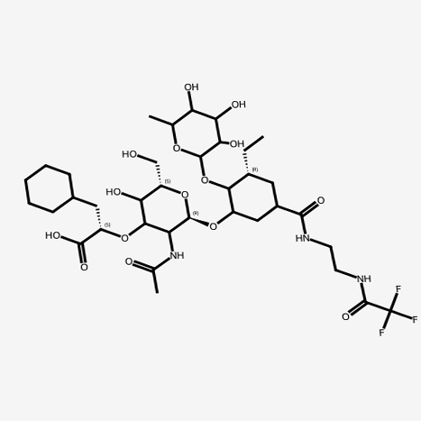 CC[C@@H]1CC(C(=O)NCCNC(=O)C(F)(F)F)CC(O[C@@H]2O[C@@H](CO)C(O)C(O[C@@H](CC3CCCCC3)C(=O)O)C2NC(C)=O)C1OC1OC(C)C(O)C(O)C1O